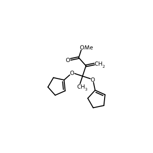 C=C(C(=O)OC)C(C)(OC1=CCCC1)OC1=CCCC1